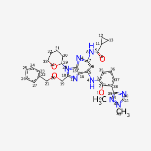 COc1c(Nc2cc(NC(=O)C3CC3)nc3c2nc(COCc2ccccc2)n3C2CCCCO2)cccc1-c1ncn(C)n1